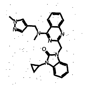 CN(Cc1cnn(C)c1)c1nc(Cn2c(=O)n(C3CC3)c3ccccc32)nc2ccccc12